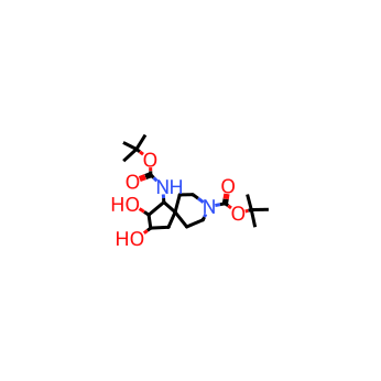 CC(C)(C)OC(=O)NC1C(O)C(O)CC12CCN(C(=O)OC(C)(C)C)CC2